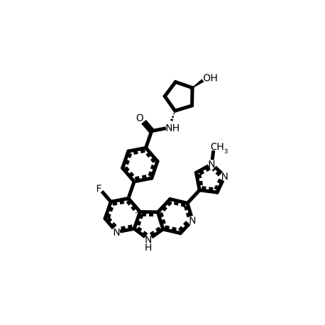 Cn1cc(-c2cc3c(cn2)[nH]c2ncc(F)c(-c4ccc(C(=O)N[C@@H]5CC[C@@H](O)C5)cc4)c23)cn1